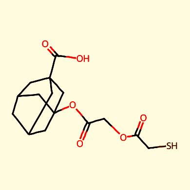 O=C(CS)OCC(=O)OC12CC3CC(C1)CC(C(=O)O)(C3)C2